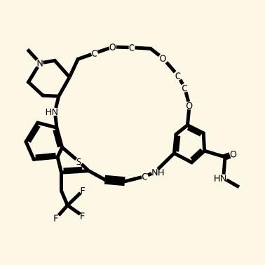 CNC(=O)c1cc2cc(c1)OCCOCCOCCC1CN(C)CCC1Nc1cccc3c(CC(F)(F)F)c(sc13)C#CCN2